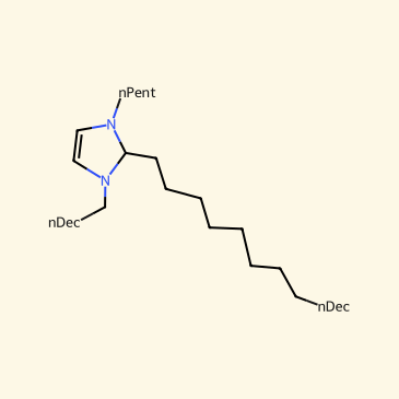 CCCCCCCCCCCCCCCCCCC1N(CCCCC)C=CN1CCCCCCCCCCC